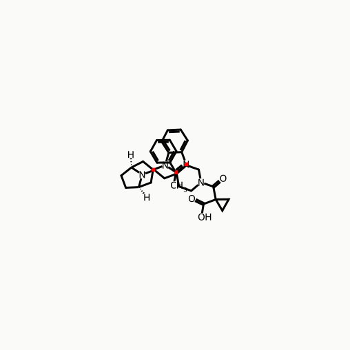 Cc1nc2ccccc2n1C1C[C@H]2CC[C@@H](C1)N2CCC1(c2ccccc2)CCN(C(=O)C2(C(=O)O)CC2)CC1